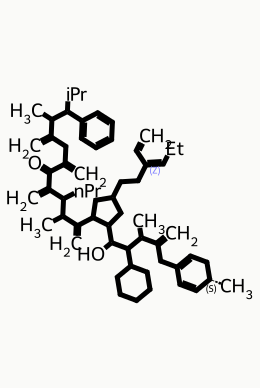 C=C/C(=C\CC)CCC1CC(C(=C)C(C)C(CCC)C(=C)C(=O)C(=C)CC(=C)C(C)C(c2ccccc2)C(C)C)C(C(O)C(C2CCCCC2)C(C)C(=C)CC2=CC[C@H](C)C=C2)C1